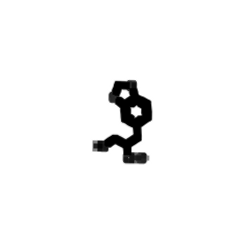 O=[C]C(CS)Cc1ccc2c(c1)OCO2